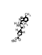 Cc1cccc2c(C(C)(C)NC(=O)[C@H]3[C@@H]4CN(C(=O)OC(C)(C)C)C[C@@H]43)noc12